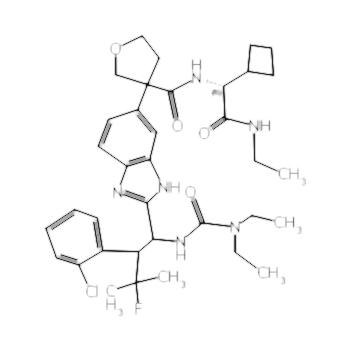 CCNC(=O)[C@H](NC(=O)C1(c2ccc3nc(C(NC(=O)N(CC)CC)C(c4ccccc4Cl)C(C)(C)F)[nH]c3c2)CCOC1)C1CCC1